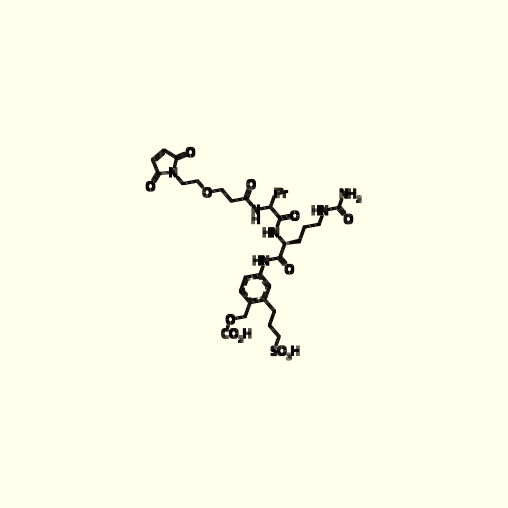 CC(C)C(NC(=O)CCOCCN1C(=O)C=CC1=O)C(=O)N[C@@H](CCCNC(N)=O)C(=O)Nc1ccc(COC(=O)O)c(CCCS(=O)(=O)O)c1